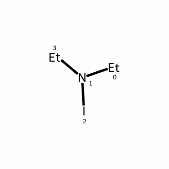 CCN(I)CC